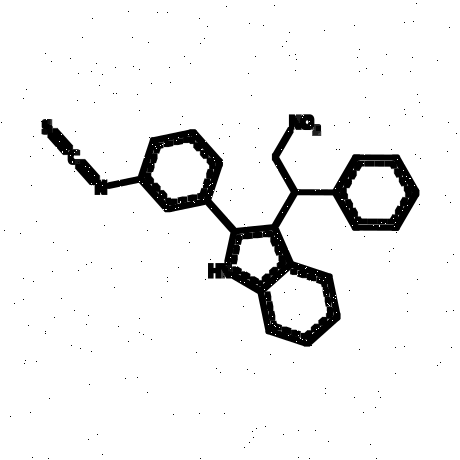 O=[N+]([O-])CC(c1ccccc1)c1c(-c2cccc(N=C=S)c2)[nH]c2ccccc12